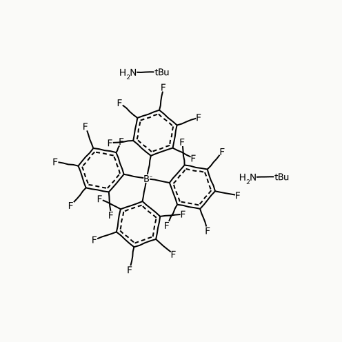 CC(C)(C)N.CC(C)(C)N.Fc1c(F)c(F)c([B-](c2c(F)c(F)c(F)c(F)c2F)(c2c(F)c(F)c(F)c(F)c2F)c2c(F)c(F)c(F)c(F)c2F)c(F)c1F